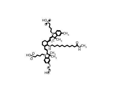 CNC(=O)CCCCCCCCCCNC1=C(/C=C/C2=[N+](CCCCS(=O)(=O)O)c3ccc(SOOO)cc3C2(C)C)CCC/C1=C\C=C1\N(CCCCS(=O)(=O)O)c2ccc(C)cc2C1(C)C